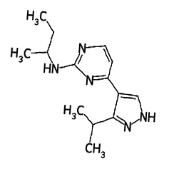 CCC(C)Nc1nccc(-c2c[nH]nc2C(C)C)n1